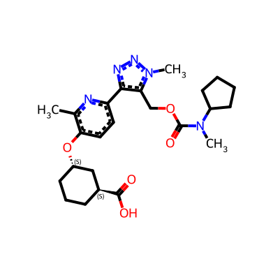 Cc1nc(-c2nnn(C)c2COC(=O)N(C)C2CCCC2)ccc1O[C@H]1CCC[C@H](C(=O)O)C1